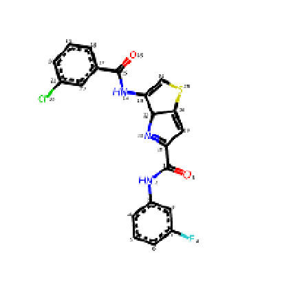 O=C(Nc1cccc(F)c1)C1=NC2C(NC(=O)c3cccc(Cl)c3)=CSC2=C1